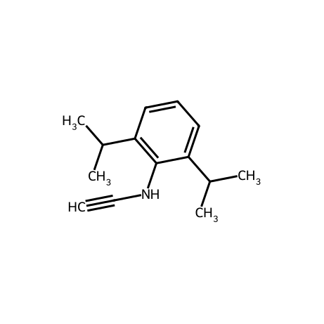 C#CNc1c(C(C)C)cccc1C(C)C